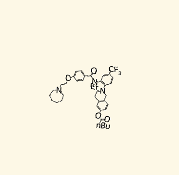 CCCCC(=O)Oc1ccc2c(c1)CCN(c1ccc(C(F)(F)F)cc1N(CC)C(=O)c1ccc(OCCN3CCCCCC3)cc1)C2